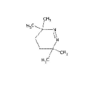 CC1(C)CCC(C)(C)N=N1